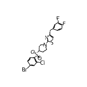 O=S(=O)(c1ccc(Br)cc1Cl)C1CCN(c2nc(Cc3ccc(F)c(F)c3)cs2)CC1